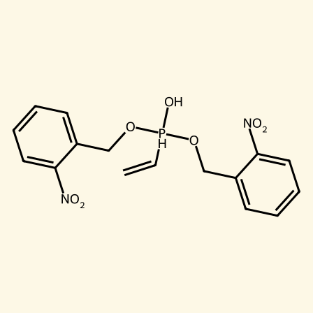 C=C[PH](O)(OCc1ccccc1[N+](=O)[O-])OCc1ccccc1[N+](=O)[O-]